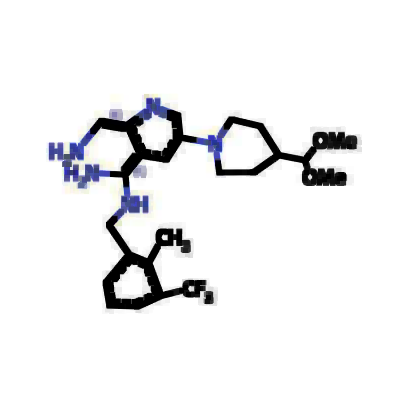 COC(OC)C1CCN(c2cnc(=C/N)/c(=C(\N)NCc3cccc(C(F)(F)F)c3C)c2)CC1